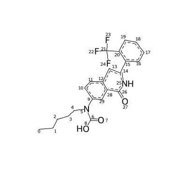 CCCCCN(C(=O)O)c1ccc2cc(-c3ccccc3C(F)(F)F)[nH]c(=O)c2c1